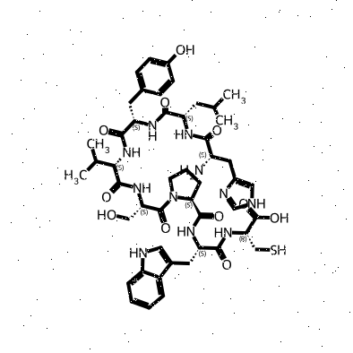 CC(C)C[C@H](NC(=O)[C@@H](N)Cc1c[nH]cn1)C(=O)N[C@@H](Cc1ccc(O)cc1)C(=O)N[C@H](C(=O)N[C@@H](CO)C(=O)N1CCC[C@H]1C(=O)N[C@@H](Cc1c[nH]c2ccccc12)C(=O)N[C@@H](CS)C(=O)O)C(C)C